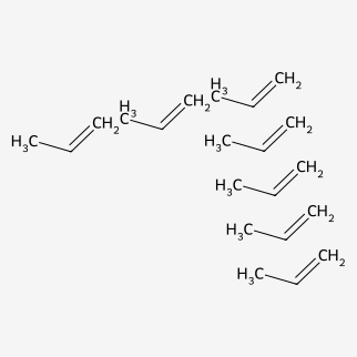 C=CC.C=CC.C=CC.C=CC.C=CC.C=CC.C=CC